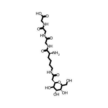 N[C@@H](CCCCNC(=O)C[C@H]1OC(CO)[C@H](O)[C@H](O)C1O)C(=O)NCC(=O)NCC(=O)NCC(=O)O